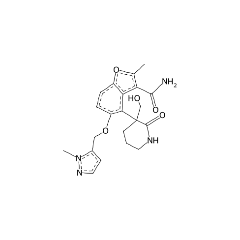 Cc1oc2ccc(OCc3ccnn3C)c(C3(CO)CCCNC3=O)c2c1C(N)=O